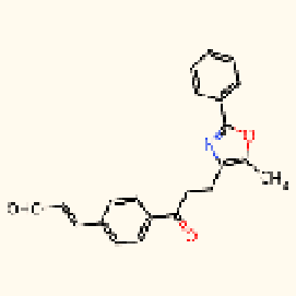 Cc1oc(-c2ccccc2)nc1CCC(=O)c1ccc(C=CC=O)cc1